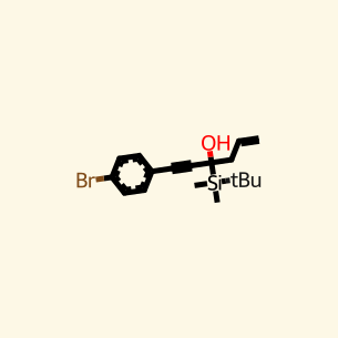 C=CCC(O)(C#Cc1ccc(Br)cc1)[Si](C)(C)C(C)(C)C